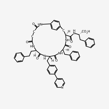 O=C1CCC(=O)N[C@H](CCc2ccccc2)C(=O)N[C@@H](Cc2ccc(-c3ccncc3)cc2)C(=O)N[C@H](Cc2ccccc2)C(=O)N[C@H](C(=O)N[C@@H](Cc2ccccc2)C(=O)O)Cc2ccc(cc2)N1